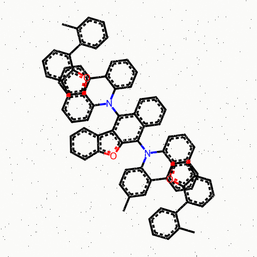 Cc1ccc(N(c2cccc3c2oc2c(-c4ccccc4C)cccc23)c2c3ccccc3c(N(c3ccccc3-c3ccccc3)c3cccc4c3oc3c(-c5ccccc5C)cccc34)c3c2oc2ccccc23)c(-c2ccccc2)c1